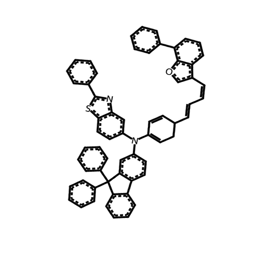 C1=CC(/C=C/C=C\c2coc3c(-c4ccccc4)cccc23)CC=C1N(c1ccc2c(c1)C(c1ccccc1)(c1ccccc1)c1ccccc1-2)c1ccc2sc(-c3ccccc3)nc2c1